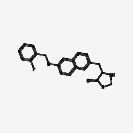 O=C1SCNC1Cc1ccc2cc(OCc3ccccc3F)ccc2c1